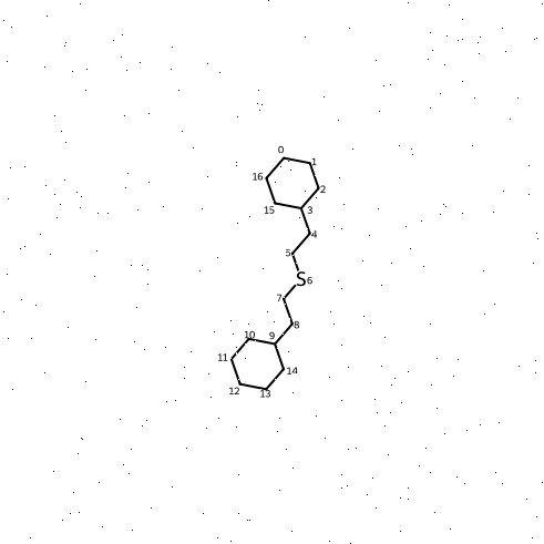 C1CCC(CCSCCC2CCCCC2)CC1